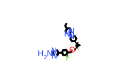 CCc1cnc(N2CCC([C@H]3C[C@H]3COCc3ccc(-c4cnc(N)nc4)cc3F)CC2)nc1